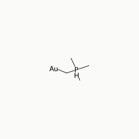 C[PH](C)(C)[CH2][Au]